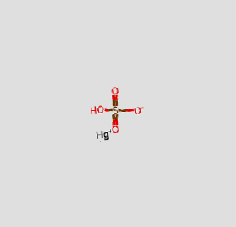 O=S(=O)([O-])O.[Hg+]